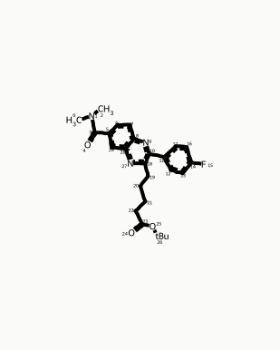 CN(C)C(=O)c1ccc2nc(-c3ccc(F)cc3)c(CCCCC(=O)OC(C)(C)C)nc2c1